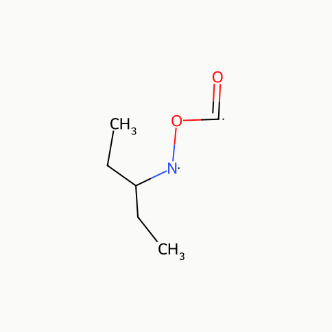 CCC(CC)[N]O[C]=O